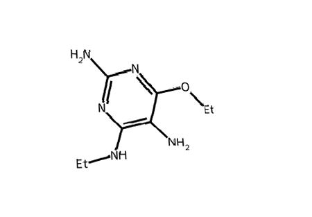 CCNc1nc(N)nc(OCC)c1N